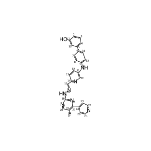 Oc1cccc(-c2ccc(Nc3ccc(/C=N/Nc4ncc(F)c(-c5ccncc5)n4)nc3)cc2)c1